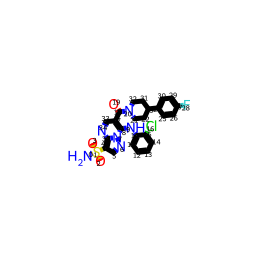 NS(=O)(=O)c1cnn2c(Nc3ccccc3Cl)c(C(=O)N3CCC(c4ccc(F)cc4)CC3)cnc12